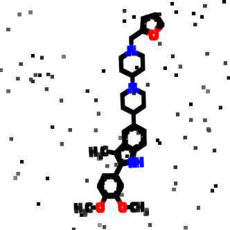 COc1ccc(-c2[nH]c3ccc(C4CCN(C5CCN(Cc6ccco6)CC5)CC4)cc3c2C)cc1OC